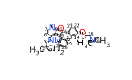 C=C(C)CNc1ccnc2oc(-c3ccc(OCCN(C)C)cc3)c(-c3ccccc3)c12